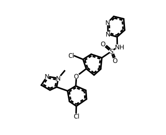 Cn1nccc1-c1cc(Cl)ccc1Oc1ccc(S(=O)(=O)Nc2cccnn2)cc1Cl